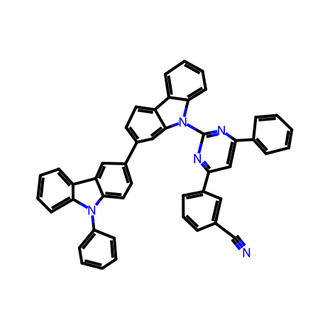 N#Cc1cccc(-c2cc(-c3ccccc3)nc(-n3c4ccccc4c4ccc(-c5ccc6c(c5)c5ccccc5n6-c5ccccc5)cc43)n2)c1